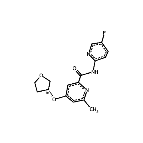 Cc1cc(O[C@@H]2CCOC2)cc(C(=O)Nc2ccc(F)cn2)n1